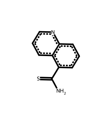 NC(=S)c1cccc2ncccc12